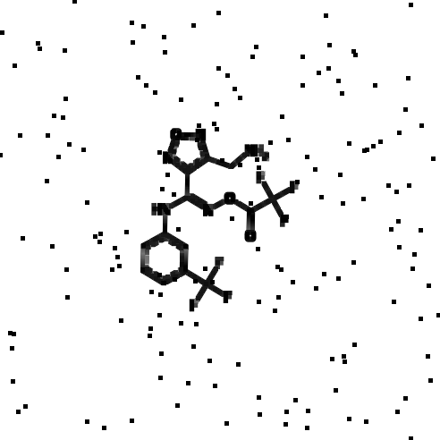 NCc1nonc1C(=NOC(=O)C(F)(F)F)Nc1cccc(C(F)(F)F)c1